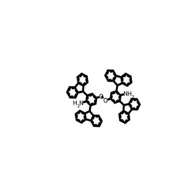 Nc1c(C2c3ccccc3-c3ccccc32)cc(OOc2cc(C3c4ccccc4-c4ccccc43)c(N)c(C3c4ccccc4-c4ccccc43)c2)cc1C1c2ccccc2-c2ccccc21